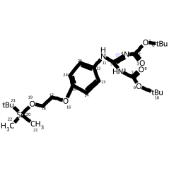 CC(C)(C)OC(=O)/N=C(\NC(=O)OC(C)(C)C)Nc1ccc(OCCO[Si](C)(C)C(C)(C)C)cc1